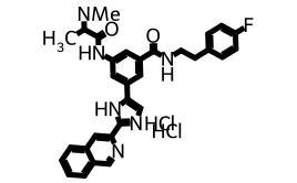 CNC(C)C(=O)Nc1cc(C(=O)NCCc2ccc(F)cc2)cc(-c2cnc(-c3cc4ccccc4cn3)[nH]2)c1.Cl.Cl